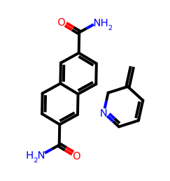 C=C1C=CC=NC1.NC(=O)c1ccc2cc(C(N)=O)ccc2c1